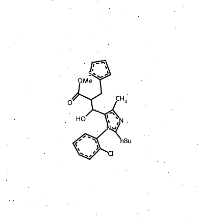 CCCCc1nc(C)c(C(O)C(Cc2cccs2)C(=O)OC)n1-c1ccccc1Cl